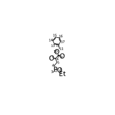 CCOP(C)CCC(=O)C(=O)OCc1ccccc1